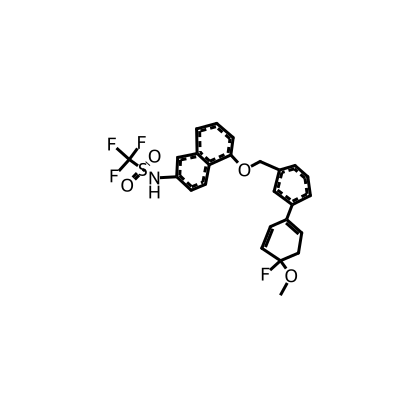 COC1(F)C=CC(c2cccc(COc3cccc4cc(NS(=O)(=O)C(F)(F)F)ccc34)c2)=CC1